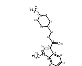 CN1CCC(CCC(=O)c2cn(C)c3ccccc23)CC1